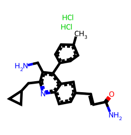 Cc1ccc(-c2c(CN)c(CC3CC3)nc3ccc(C=CC(N)=O)cc23)cc1.Cl.Cl